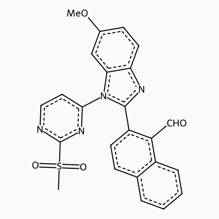 COc1ccc2nc(-c3ccc4ccccc4c3C=O)n(-c3ccnc(S(C)(=O)=O)n3)c2c1